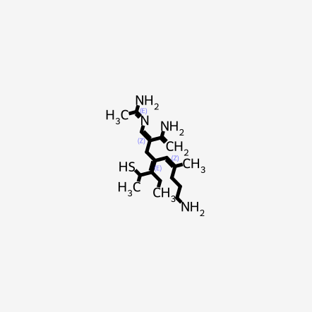 C=C(N)/C(=C\N=C(/C)N)CC(/C=C(/C)CCCN)=C(/CC)C(C)S